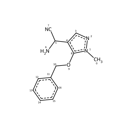 Cn1ncc(C(N)C#N)c1OCc1ccccc1